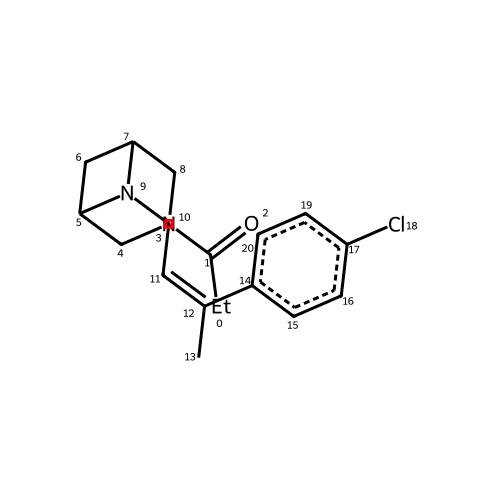 CCC(=O)N1CC2CC(C1)N2CC=C(C)c1ccc(Cl)cc1